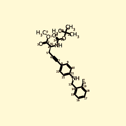 COC(=O)[C@H](CC#Cc1ccc(NCc2ccccc2F)cc1)NC(=O)OC(C)(C)C